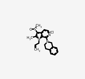 C=CCn1c(C)c([S+](C)[O-])c2ccnc(N3CCc4ccccc4C3)c21.Cl